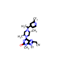 CCn1c(CC#N)nc2c(N3C[C@@H](C)N(C(C)c4ccnc(C(F)(F)F)c4)C[C@@H]3C)nc(=O)n(C)c21